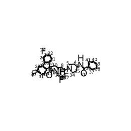 O=C(NC1CCN(CCCCC2(C(=O)NCC(F)(F)F)c3ccc(F)cc3-c3cc(F)ccc32)CC1)c1ccccc1